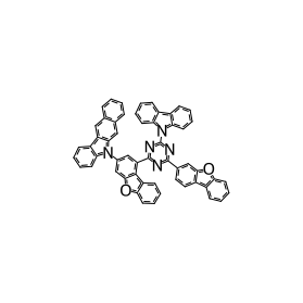 c1ccc2cc3c(cc2c1)c1ccccc1n3-c1cc(-c2nc(-c3ccc4c(c3)oc3ccccc34)nc(-n3c4ccccc4c4ccccc43)n2)c2c(c1)oc1ccccc12